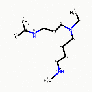 CCN(CCCCNC)CCCNC(C)C